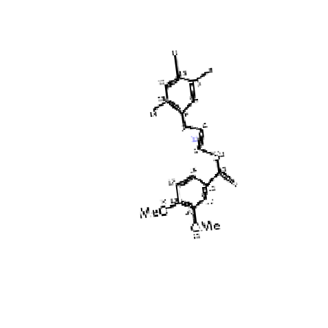 C=C(S/C=C/Cc1cc(C)c(C)cc1C)c1ccc(OC)c(OC)c1